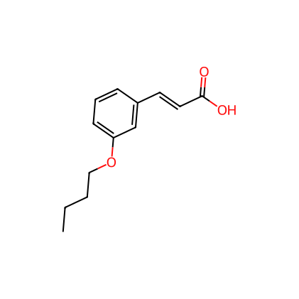 CCCCOc1cccc(C=CC(=O)O)c1